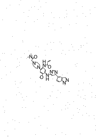 C=CC(=O)Nc1cc(Nc2cc(-c3ccc4c(cnn4C)c3)ncn2)c(OC)cc1N1CCN(CC(=O)N(C)C)CC1